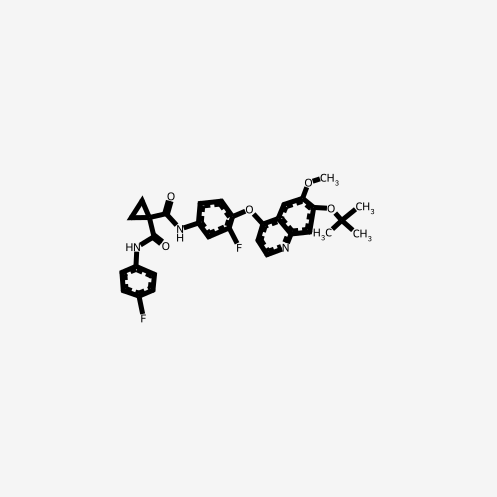 COc1cc2c(Oc3ccc(NC(=O)C4(C(=O)Nc5ccc(F)cc5)CC4)cc3F)ccnc2cc1OC(C)(C)C